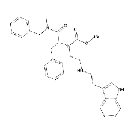 CN(Cc1ccccc1)C(=O)C(Cc1ccccc1)N(CCNCCc1c[nH]c2ccccc12)C(=O)OC(C)(C)C